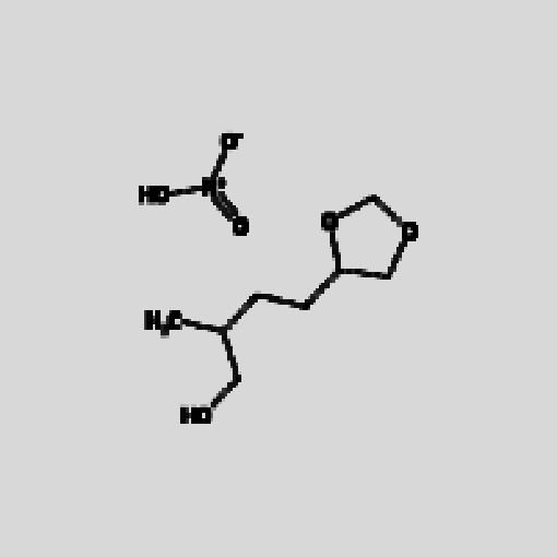 CC(CO)CCC1COCO1.O=[N+]([O-])O